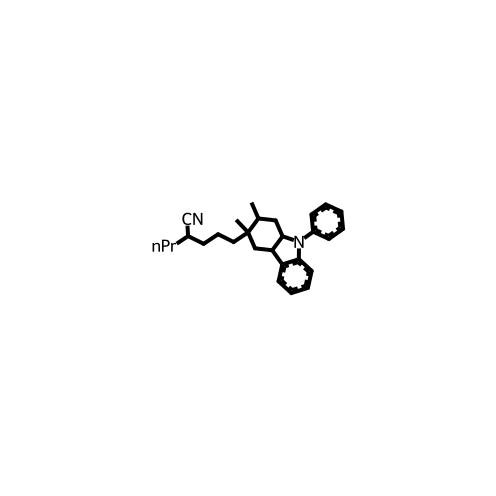 CCCC(C#N)CCCC1(C)CC2c3ccccc3N(c3ccccc3)C2CC1C